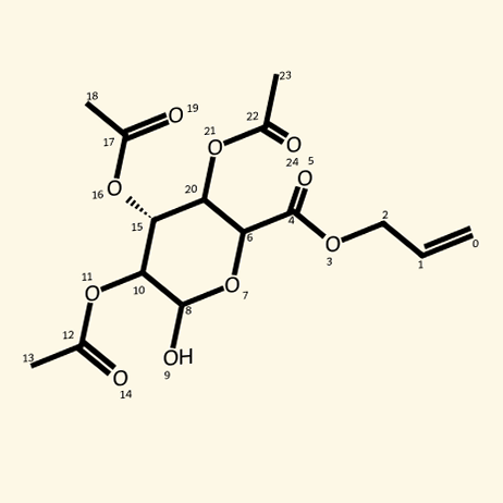 C=CCOC(=O)C1OC(O)C(OC(C)=O)[C@H](OC(C)=O)C1OC(C)=O